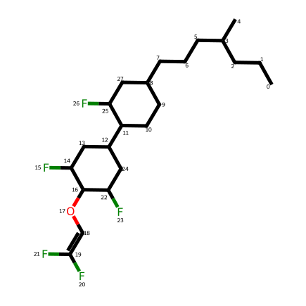 CCCC(C)CCCC1CCC(C2CC(F)C(OC=C(F)F)C(F)C2)C(F)C1